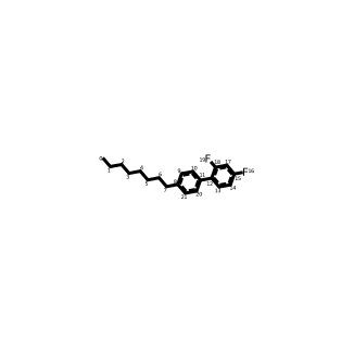 CCCCCCCCc1ccc(-c2ccc(F)cc2F)cc1